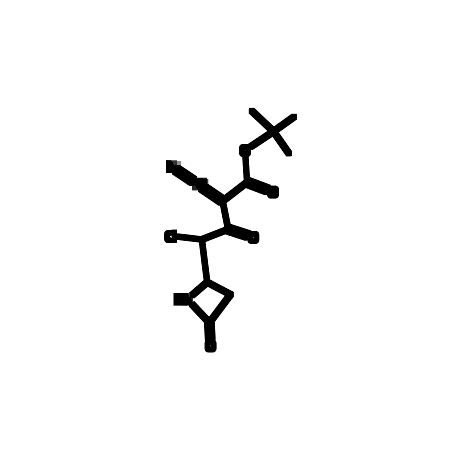 CC(C)(C)OC(=O)C(=[N+]=[N-])C(=O)C(Cl)C1CC(=O)N1